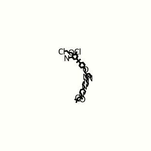 CC(C)(C)OC(=O)N1CCC(N2CCN(c3nccc(COc4ccc(C(C)(C)c5cc(Cl)c(OCCCl)c(C#N)c5)cc4)n3)CC2)CC1